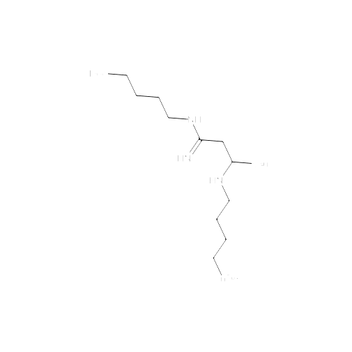 CCCCCCCCCCCCCCNC(=N)CC(NCCCCCCCCCCCCCC)C(C)(C)C